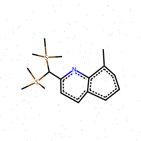 Cc1cccc2ccc(C(S(C)(C)C)S(C)(C)C)nc12